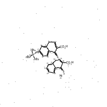 CCCC[N+](CCCC)(CCCC)CCCC.O=C(O)C1=CCc2ccccc2C1=S.O=C(O)C1=CCc2ccccc2C1=S.[Ni]